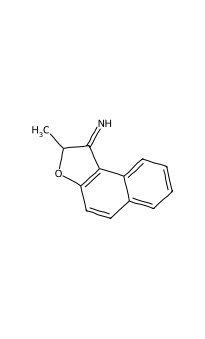 CC1Oc2ccc3ccccc3c2C1=N